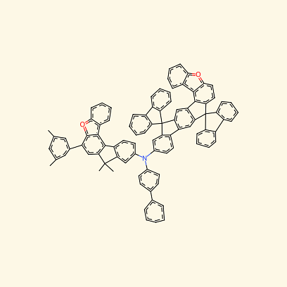 Cc1cc(C)cc(-c2cc3c(c4c2oc2ccccc24)-c2ccc(N(c4ccc(-c5ccccc5)cc4)c4ccc5c(c4)C4(c6ccccc6-c6ccccc64)c4cc6c(cc4-5)C4(c5ccccc5-c5ccccc54)c4ccc5oc7ccccc7c5c4-6)cc2C3(C)C)c1